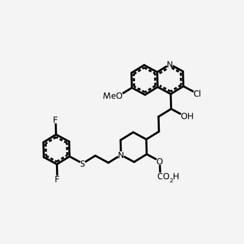 COc1ccc2ncc(Cl)c(C(O)CCC3CCN(CCSc4cc(F)ccc4F)CC3OC(=O)O)c2c1